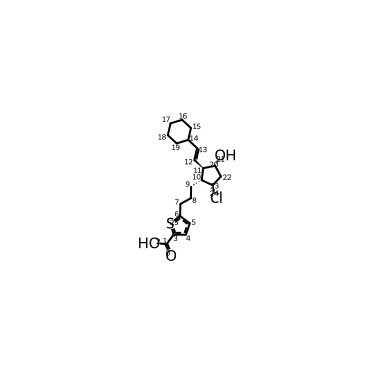 O=C(O)c1ccc(CCC[C@@H]2[C@@H](C=CC3CCCCC3)[C@H](O)C[C@H]2Cl)s1